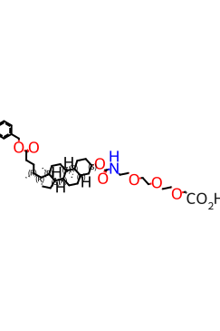 C[C@H](CCC(=O)OCc1ccccc1)[C@H]1CC[C@H]2[C@@H]3CC[C@@H]4C[C@@H](OC(=O)NCCOCCOCCOCC(=O)O)CC[C@]4(C)[C@H]3CC[C@]12C